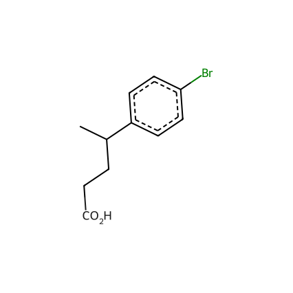 CC(CCC(=O)O)c1ccc(Br)cc1